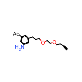 C#CCCOCCOCCCc1cc(N)cc(C(C)=O)c1